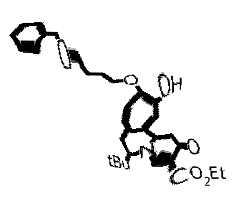 CCOC(=O)c1cn2c(cc1=O)-c1cc(O)c(OCCCCOCc3ccccc3)cc1CC2C(C)(C)C